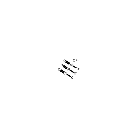 [Cr+3].[O]=[Al][O-].[O]=[Al][O-].[O]=[Al][O-]